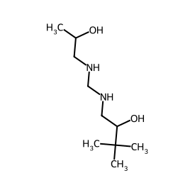 CC(O)CNCNCC(O)C(C)(C)C